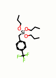 CCCO[Si](Cc1ccc(C(F)(F)F)cc1)(OCCC)OCCC